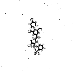 CCc1cc(Nc2ncc(Cl)c(Nc3ccccc3P(C)(C)=O)n2)cc(Cl)c1N1CCC(=O)CC1